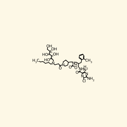 CCCCCCN(CCC(=O)N1CCC(CN(CC(CNC(=O)c2nc(Cl)c(N)nc2N)Cc2ccccc2C)C(=O)O)CC1)C[C@@H](O)[C@@H](O)[C@H](O)[C@H](O)CO